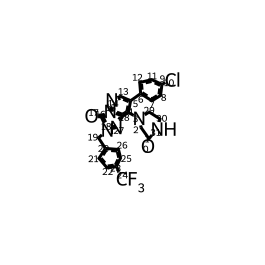 O=C1CN(c2c(-c3ccc(Cl)cc3)cnn3c(=O)n(Cc4ccc(C(F)(F)F)cc4)nc23)CCN1